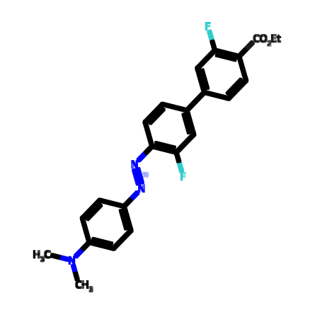 CCOC(=O)c1ccc(-c2ccc(/N=N/c3ccc(N(C)C)cc3)c(F)c2)cc1F